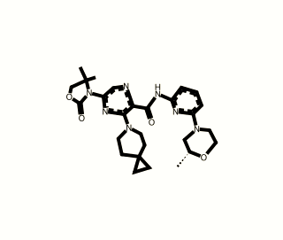 C[C@@H]1CN(c2cccc(NC(=O)c3ncc(N4C(=O)OCC4(C)C)nc3N3CCC4(CC3)CC4)n2)CCO1